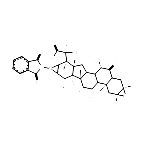 CC(=O)O[C@H]1C2C([C@@H]3[C@@H](O)[C@@H]4[C@H]([C@H](C)[C@H]5N(N6C(=O)c7ccccc7C6=O)[C@]56OC(=O)[C@@](C)(O)[C@]46C)[C@@]3(C)[C@H]1OC(C)=O)[C@@H](O)C(=O)[C@H]1C[C@@H]3O[C@@H]3[C@H](OC(C)=O)[C@]21C